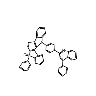 O=P1(c2ccccc2)c2ccccc2-c2c1ccc1c3ccccc3n(-c3ccc(-c4nc(-c5ccccc5)c5ccccc5n4)cc3)c21